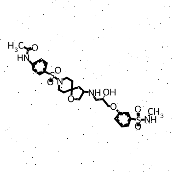 CNS(=O)(=O)c1cccc(OC[C@@H](O)CNC2COC3(CCN(S(=O)(=O)c4ccc(NC(C)=O)cc4)CC3)C2)c1